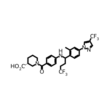 Cc1cc(-n2cc(C(F)(F)F)cn2)ccc1C(CCC(F)(F)F)Nc1ccc(C(=O)N2CCC[C@@H](C(=O)O)C2)cc1